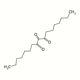 CCCCCCCC(=O)C(=O)C(=O)CCCCCCC